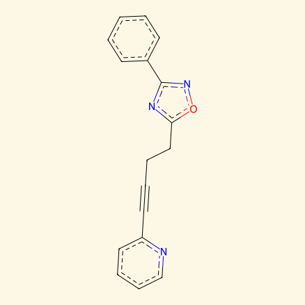 C(#Cc1ccccn1)CCc1nc(-c2ccccc2)no1